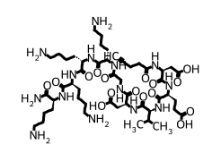 C#CCCC(=O)N[C@@H](CC(=O)O)C(=O)N[C@@H](CCC(=O)O)C(=O)N[C@H](C(=O)N[C@@H](CC(=O)O)C(=O)NCC(=O)N[C@@H](CCCCN)C(=O)N[C@@H](CCCCN)C(=O)N[C@@H](CCCCN)C(=O)N[C@@H](CCCCN)C(N)=O)C(C)C